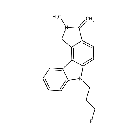 C=C1c2ccc3c(c2CN1C)c1ccccc1n3CCCF